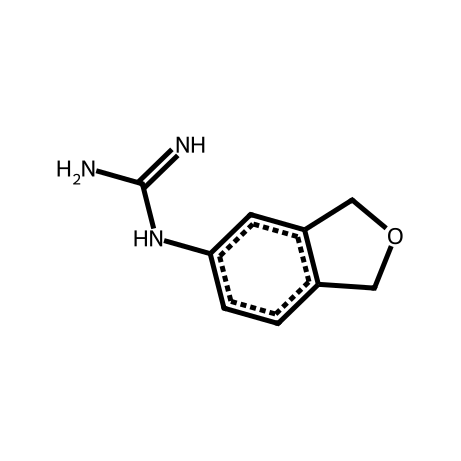 N=C(N)Nc1ccc2c(c1)COC2